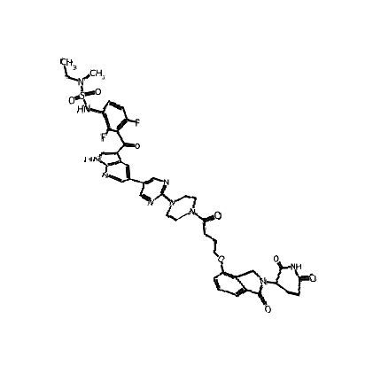 CCN(C)S(=O)(=O)Nc1ccc(F)c(C(=O)c2c[nH]c3ncc(-c4cnc(N5CCN(C(=O)CCCOc6cccc7c6CN(C6CCC(=O)NC6=O)C7=O)CC5)nc4)cc23)c1F